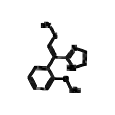 CCCCOc1ccccc1C(=CSCCC)c1ncc[nH]1